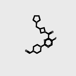 O=CN1CCN(c2ncc(F)c(C(=O)N3CC(CN4CCCC4)C3)n2)CC1